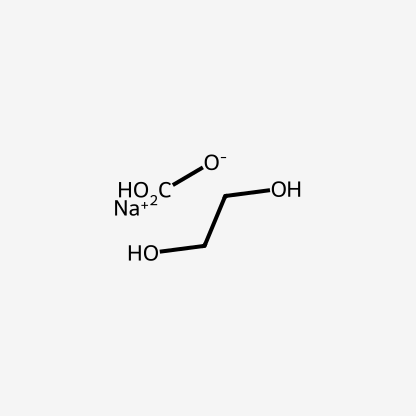 O=C([O-])O.OCCO.[Na+]